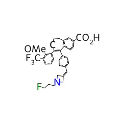 COc1c(C2=C(c3ccc(C=C4CN(CCCF)C4)cc3)c3ccc(C(=O)O)cc3CCC2)cccc1C(F)(F)F